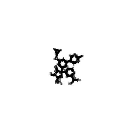 Cc1ncc(-c2cc(OC3CC3)cc(C3(c4ccnc(C(F)F)c4)N=C(N)N(C)C3=O)c2)cn1